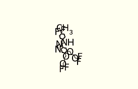 CC(F)(F)c1ccc(Nc2ncnc3cc(OCCOC(F)F)c(OCCOC(F)F)cc23)cc1